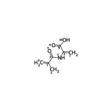 C=C(C)C(=O)NC(=C)C(=O)O